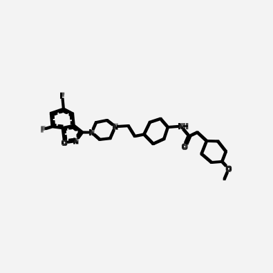 COC1CCC(CC(=O)NC2CCC(CCN3CCN(c4noc5c(F)cc(F)cc45)CC3)CC2)CC1